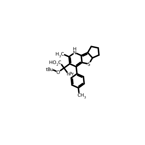 CCCC(OC(C)(C)C)(C(=O)O)C1=C(C)NC2=C3CCCC3SC2=C1c1ccc(C)cc1